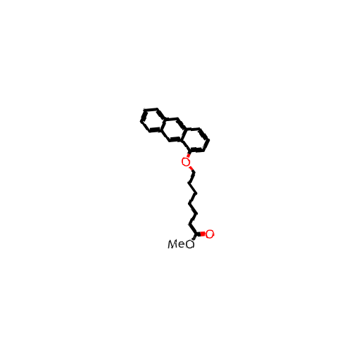 COC(=O)CCCCCCOc1cccc2cc3ccccc3cc12